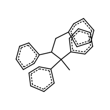 CC([C](Cc1ccccc1)c1ccccc1)(c1ccccc1)c1ccccc1